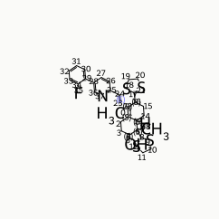 C[C@@]12CC[C@@H](O)[C@@](C)(C3SCCS3)[C@H]1CC[C@H](C1SCCS1)[C@H]2/C=C/c1ccc(-c2ccccc2F)cn1